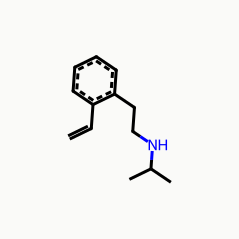 C=Cc1ccccc1CCNC(C)C